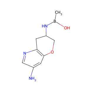 CB(O)NC1COc2cc(N)cnc2C1